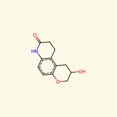 O=C1CCc2c(ccc3c2CC(O)CO3)N1